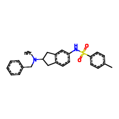 CCCN(Cc1ccccc1)C1Cc2ccc(NS(=O)(=O)c3ccc(C)cc3)cc2C1